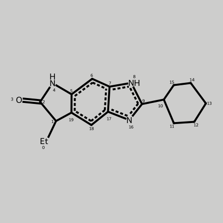 CCC1C(=O)Nc2cc3[nH]c(C4CCCCC4)nc3cc21